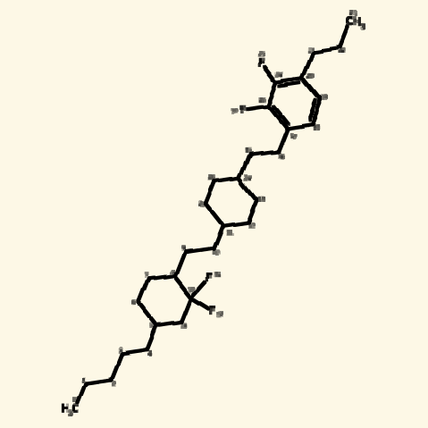 CCCCCC1CCC(CCC2CCC(CCc3ccc(CCC)c(F)c3F)CC2)C(F)(F)C1